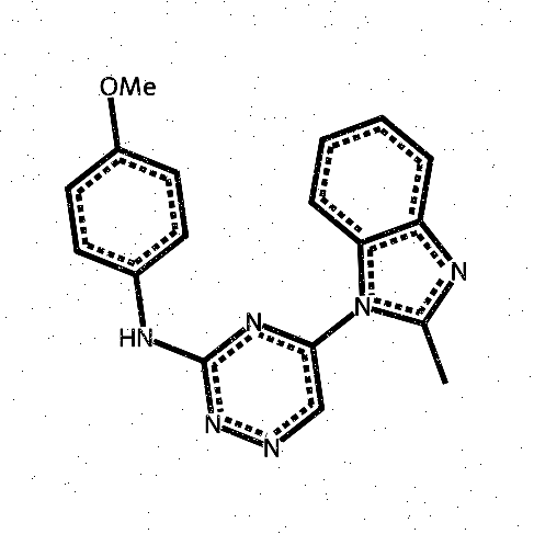 COc1ccc(Nc2nncc(-n3c(C)nc4ccccc43)n2)cc1